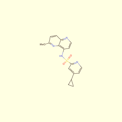 COc1ccc2nccc(NS(=O)(=O)c3cc(C4CC4)ccn3)c2n1